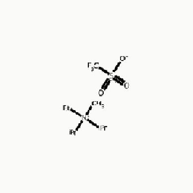 CC[N+](C)(C(C)C)C(C)C.O=S(=O)([O-])C(F)(F)F